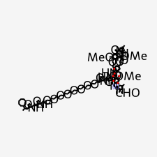 COc1cc(C)c(/N=C\C2CC(C)=CN2C=O)cc1OCCCCCOc1cc2c(cc1OC)C(=O)N1C=C(C)C[C@@H]1[C@H](OC)N2C(=O)OCc1ccc(NC(=O)[C@H](C)NC(=O)CNC(=O)CCOCCOCCOCCOCCOCCOCCOCCOCCNC(=O)CCNC(=O)CC(C)C2CCCCCCC2)cc1